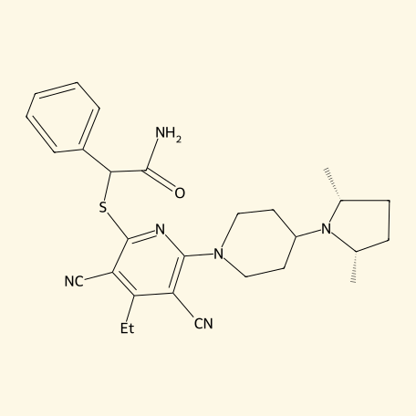 CCc1c(C#N)c(SC(C(N)=O)c2ccccc2)nc(N2CCC(N3[C@H](C)CC[C@@H]3C)CC2)c1C#N